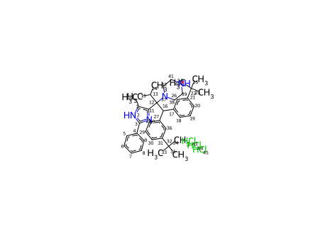 Cc1[nH]c(-c2ccccc2)nc1C(C(C)C)(C(c1cccc(C(C)(C)C)c1)c1cccc(C(C)(C)C)c1)N1CCNCC1.Cl.Cl.Cl